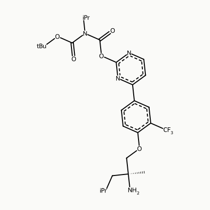 CC(C)C[C@](C)(N)COc1ccc(-c2ccnc(OC(=O)N(C(=O)OC(C)(C)C)C(C)C)n2)cc1C(F)(F)F